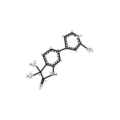 Cc1cc(-c2ccc3c(c2)NC(=O)C3(C)C)ccn1